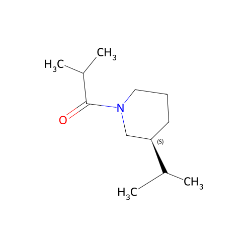 CC(C)C(=O)N1CCC[C@@H](C(C)C)C1